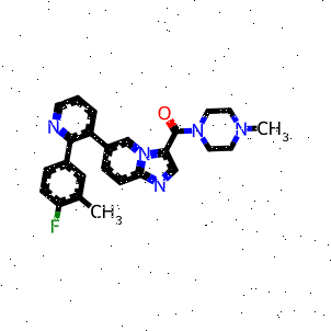 Cc1cc(-c2ncccc2-c2ccc3ncc(C(=O)N4CCN(C)CC4)n3c2)ccc1F